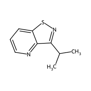 CC(C)c1nsc2cccnc12